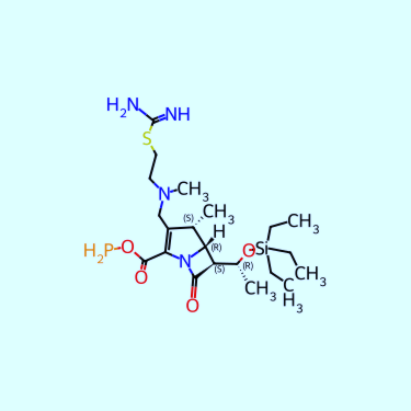 CC[Si](CC)(CC)O[C@H](C)[C@H]1C(=O)N2C(C(=O)OP)=C(CN(C)CCSC(=N)N)[C@H](C)[C@H]12